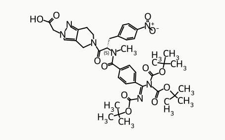 CN(C(=O)c1ccc(C(=NC(=O)OC(C)(C)C)N(C(=O)OC(C)(C)C)C(=O)OC(C)(C)C)cc1)[C@@H](Cc1ccc([N+](=O)[O-])cc1)C(=O)N1CCc2nn(CC(=O)O)cc2C1